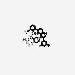 CO[C@@H]1CN(c2c(-c3cc(F)cc(F)c3)cnc3ccc(-c4cccc(C#N)c4O)cc23)CC[C@@H]1N